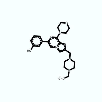 O=CCN1CCN(Cc2cn3cc(-c4cccc(O)c4)nc(N4CCOCC4)c3n2)CC1